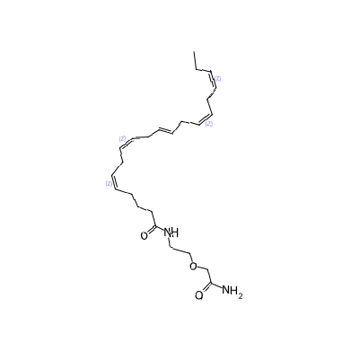 CC/C=C\C/C=C\CC=CC/C=C\C/C=C\CCCC(=O)NCCOCC(N)=O